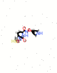 O=C(NOC1C2CNCC21)[C@@H]1CC[C@@H]2CN1C(=O)N2OS